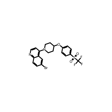 O=S(=O)(c1ccc(OC2CCN(c3ccnc4ccc(Br)cc34)CC2)cc1)C(F)(F)F